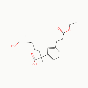 CCOC(=O)CCc1cccc(C(C)(CCCC(C)(C)CO)C(=O)O)c1